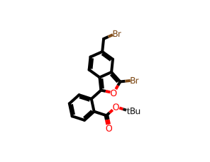 CC(C)(C)OC(=O)c1ccccc1-c1oc(Br)c2cc(CBr)ccc12